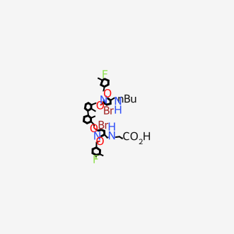 CCCCNCc1cc(Br)c(OCc2cccc(-c3cccc(COc4nc(OCc5ccc(F)c(C)c5)c(CNCCCC(=O)O)cc4Br)c3C)c2C)nc1OCc1ccc(F)c(C)c1